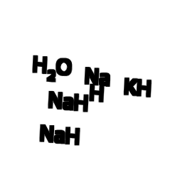 O.[KH].[NaH].[NaH].[NaH]